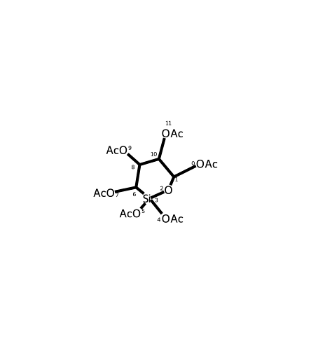 CC(=O)OC1O[Si](OC(C)=O)(OC(C)=O)C(OC(C)=O)C(OC(C)=O)C1OC(C)=O